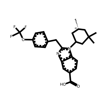 C[C@H]1CC(n2c(Cc3ccc(OC(F)(F)F)cc3)nc3cc(C(=O)O)ccc32)CC(C)(C)C1